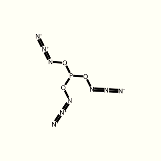 [N-]=[N+]=NOP(ON=[N+]=[N-])ON=[N+]=[N-]